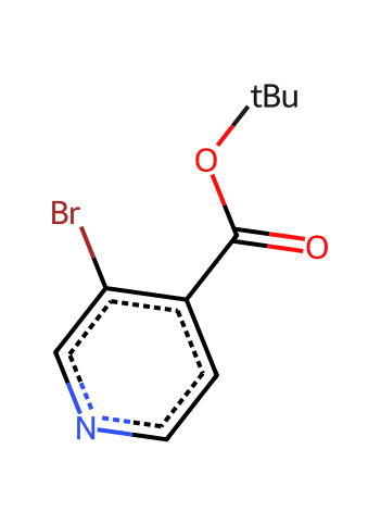 CC(C)(C)OC(=O)c1ccncc1Br